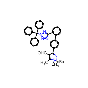 CCCC[N+]1(C)N=C(c2ccc(-c3ccccc3-c3nnn(C(c4ccccc4)(c4ccccc4)c4ccccc4)n3)cc2)C(C=O)=C1C